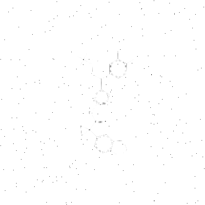 CC(C)(C)[S@@+]([O-])NC(c1ccc(Cl)c(Cl)c1)c1cnc(NC(=O)C2(c3ccc4c(c3)OCO4)CC2)s1